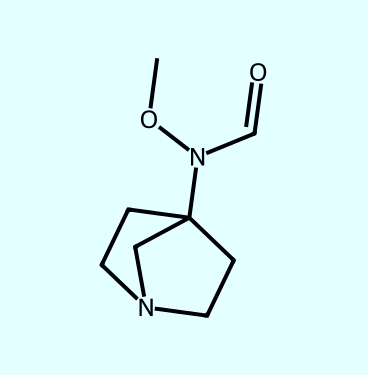 CON(C=O)C12CCN(CC1)C2